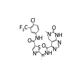 C[C@@H](NC(=O)c1ncnc2c1CN(C)C(=O)N2)c1ncc(C(=O)Nc2ccc(Cl)c(C(F)(F)F)c2)s1